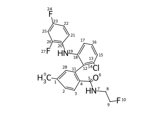 Cc1ccc(C(=O)NCCF)c(-c2c(Cl)cccc2Nc2ccc(F)cc2F)c1